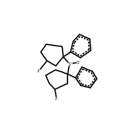 [O-][S+](C1(c2ccccc2)CCCC(F)C1)C1(c2ccccc2)CCCC(F)C1